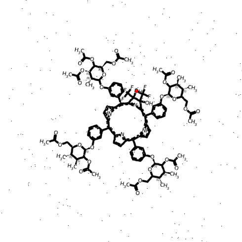 CC(=O)OCC1O[C@@H](Oc2cccc(-c3c4nc(c(-c5cccc(O[C@@H]6OC(COC(C)=O)[C@@H](C)[C@H](C)C6OC(C)=O)c5)c5ccc([nH]5)c(-c5cccc(O[C@@H]6OC(COC(C)=O)[C@@H](C)[C@H](C)C6OC(C)=O)c5)c5nc(c(-c6cccc(OC7O[C@H](COC(C)=O)C(OC(C)=O)[C@@H](OC(C)=O)[C@H]7C)c6)c6ccc3[nH]6)C(O)(C(F)(F)F)C5(O)C(F)(F)F)C=C4)c2)C(OC(C)=O)[C@@H](C)[C@@H]1C